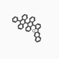 c1ccc(-c2c3ccccc3c(-c3c4ccccc4c(-c4cccc5c4oc4cc6ccccc6cc45)c4ccccc34)c3ccccc23)cc1